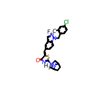 CN1C2CCC1CN(C1=NC(=O)/C(=C/c3ccc4c(cnn4Cc4ccc(Cl)cc4C(F)(F)F)c3)S1)C2